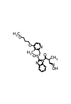 COCCCOc1ccnc(C[S+]([O-])c2nc3ccccc3n2C(=O)C(C)C=NO)c1C